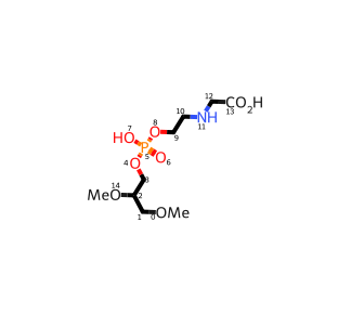 COCC(COP(=O)(O)OCCNCC(=O)O)OC